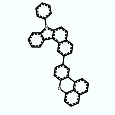 c1ccc(-n2c3ccccc3c3c4cc(-c5ccc6c(c5)-c5cccc7cccc(c57)O6)ccc4ccc32)cc1